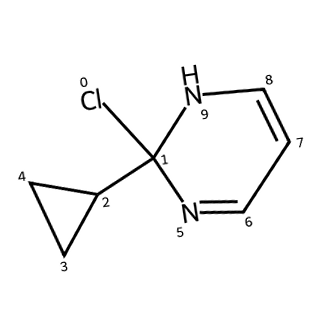 ClC1(C2CC2)N=CC=CN1